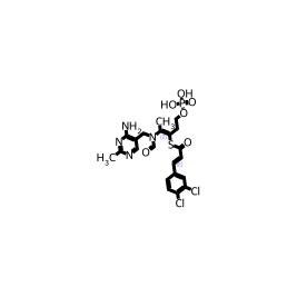 C/C(=C(\CCOP(=O)(O)O)SC(=O)/C=C/c1ccc(Cl)c(Cl)c1)N(C=O)Cc1cnc(C)nc1N